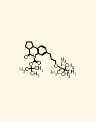 CC(C)(C)OC(=O)N1C(=O)C2CCCC2c2ccc(CCCO[Si](C)(C)C(C)(C)C)cc21